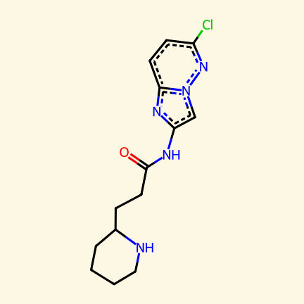 O=C(CCC1CCCCN1)Nc1cn2nc(Cl)ccc2n1